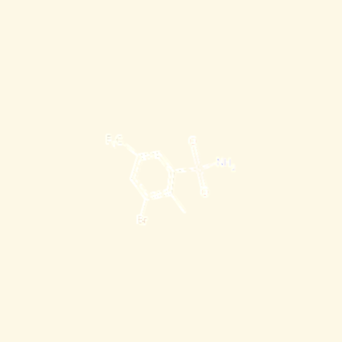 Cc1c(Br)cc(C(F)(F)F)cc1S(N)(=O)=O